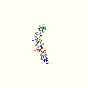 CN1CCN(CC(=O)N(O)Cc2ccc(Nc3ccc(N4CCC(F)(F)C4)cc3)cc2)CC1